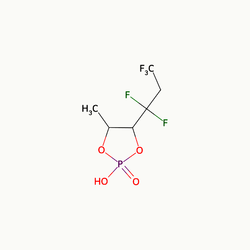 CC1OP(=O)(O)OC1C(F)(F)CC(F)(F)F